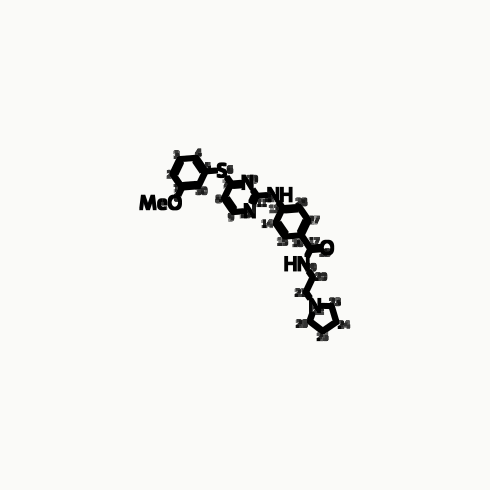 COc1cccc(Sc2ccnc(Nc3ccc(C(=O)NCCN4CCCC4)cc3)n2)c1